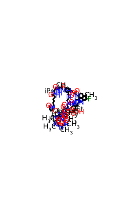 CC[C@@]1(O)C(=O)OCc2c1cc1n(c2=O)Cc2c-1nc1cc(F)c(C)c3c1c2[C@@H](NC(=O)OCc1ccc(NC(=O)[C@H](C)NC(=O)[C@@H](NC(=O)CCCCCN2C(=O)C=CC2=O)C(C)C)cc1C(=O)NCCNC(=O)CN(C)C(=O)CN(C)C(=O)CN(C)C(=O)CN(C)C(=O)CN(C)C(=O)CN(C)C(=O)CN(C)C(=O)CN(C)C(=O)CN(C)C(=O)CN(C)C(C)=O)CC3